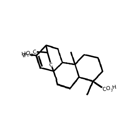 CC(C)C1=CC23CCC4C(C)(C(=O)O)CCCC4(C)C2CC1C(C(=O)O)C3